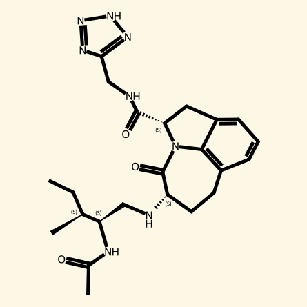 CC[C@H](C)[C@@H](CN[C@H]1CCc2cccc3c2N(C1=O)[C@H](C(=O)NCc1nn[nH]n1)C3)NC(C)=O